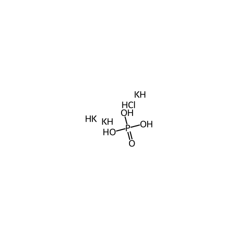 Cl.O=P(O)(O)O.[KH].[KH].[KH]